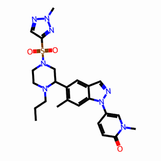 CCCN1CCN(S(=O)(=O)c2cnn(C)n2)CC1c1cc2cnn(-c3ccc(=O)n(C)c3)c2cc1C